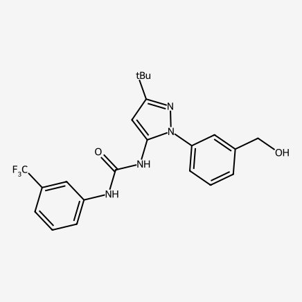 CC(C)(C)c1cc(NC(=O)Nc2cccc(C(F)(F)F)c2)n(-c2cccc(CO)c2)n1